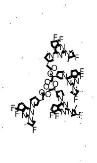 C[C@@H]1[C@H](F)CN1c1nc(N2CC[C@H](CC(=O)OC(C(=O)OC(C(=O)OC(=O)C[C@@H]3CCN(c4nc(N5C[C@H](F)[C@@H]5C)nc5c4CCC5(F)F)C3)[C@@H]3CCN(c4nc(N5C[C@H](F)[C@@H]5C)nc5c4CCC5(F)F)C3)[C@H]3CCN(c4nc(N5C[C@@H](F)[C@H]5C)nc5c4CCC5(F)F)C3)C2)c2c(n1)C(F)(F)CC2